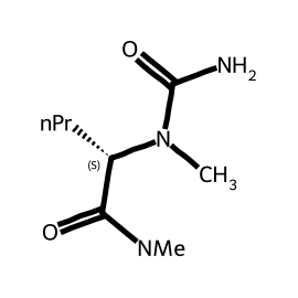 CCC[C@@H](C(=O)NC)N(C)C(N)=O